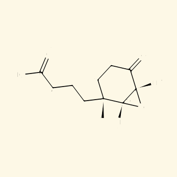 C[C@@]1(CCCC(=O)O)CCC(=O)[C@@H]2O[C@@H]21